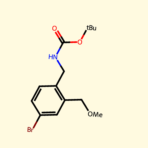 COCc1cc(Br)ccc1CNC(=O)OC(C)(C)C